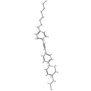 CCCCCCCOc1cnc(C#Cc2ccc(C3CCC(CCC)CC3)cc2)nc1